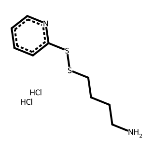 Cl.Cl.NCCCCSSc1ccccn1